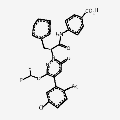 CC(=O)c1ccc(Cl)cc1-c1cc(=O)n([C@@H](Cc2ccccc2)C(=O)Nc2ccc(C(=O)O)cc2)nc1OC(F)F